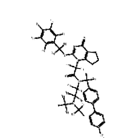 [2H]c1c([2H])c(C([2H])([2H])Sc2nc(=O)c3c(n2C([2H])([2H])C(=O)N(C([2H])(C)c2ccc(-c4ccc(C(F)(F)F)cc4)cc2)C([2H])([2H])C([2H])([2H])N(C([2H])([2H])C)C([2H])([2H])C)CCC3)c([2H])c([2H])c1F